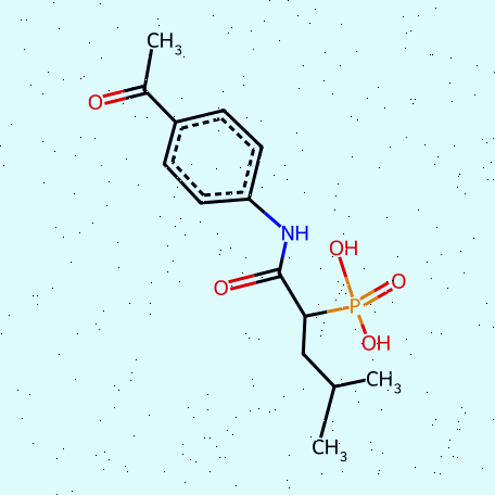 CC(=O)c1ccc(NC(=O)C(CC(C)C)P(=O)(O)O)cc1